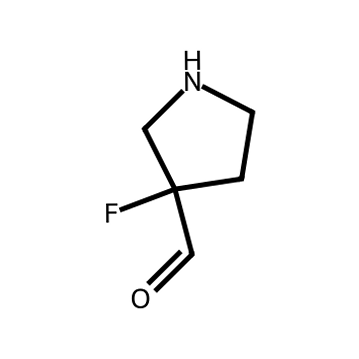 O=CC1(F)CCNC1